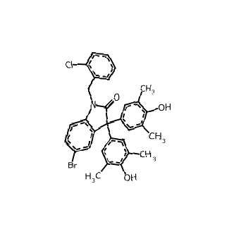 Cc1cc(C2(c3cc(C)c(O)c(C)c3)C(=O)N(Cc3ccccc3Cl)c3ccc(Br)cc32)cc(C)c1O